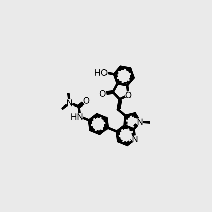 CN(C)C(=O)Nc1ccc(-c2ccnc3c2c(C=C2Oc4cccc(O)c4C2=O)cn3C)cc1